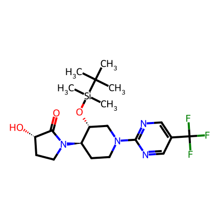 CC(C)(C)[Si](C)(C)O[C@@H]1CN(c2ncc(C(F)(F)F)cn2)CC[C@H]1N1CC[C@H](O)C1=O